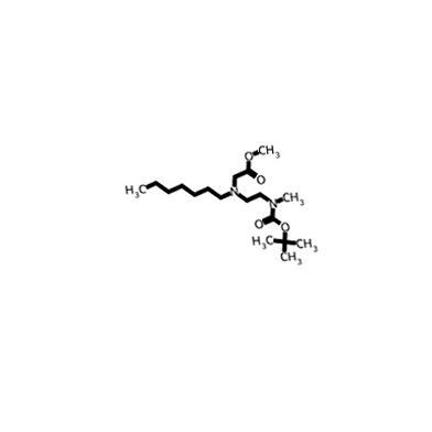 CCCCCCCN(CCN(C)C(=O)OC(C)(C)C)CC(=O)OC